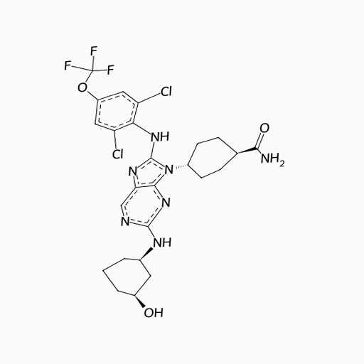 NC(=O)[C@H]1CC[C@H](n2c(Nc3c(Cl)cc(OC(F)(F)F)cc3Cl)nc3cnc(N[C@@H]4CCC[C@H](O)C4)nc32)CC1